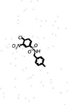 Cc1ccc(CNS(=O)(=O)C2=CCC(Cl)C([N+](=O)[O-])=C2)cc1